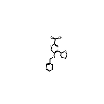 O=C(O)c1cc(C2OCCO2)c(OCc2ccccc2)cn1